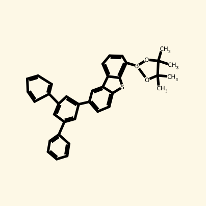 CC1(C)OB(c2cccc3c2sc2ccc(-c4cc(-c5ccccc5)cc(-c5ccccc5)c4)cc23)OC1(C)C